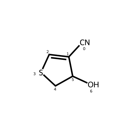 N#CC1=CSCC1O